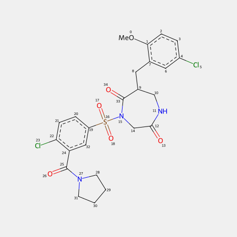 COc1ccc(Cl)cc1CC1CNC(=O)CN(S(=O)(=O)c2ccc(Cl)c(C(=O)N3CCCC3)c2)C1=O